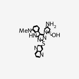 CNc1cccc2c1[nH]c1nc(Sc3cnc4cccnc4c3)nc(N3C[C@H](N)C[C@@H]3CO)c12